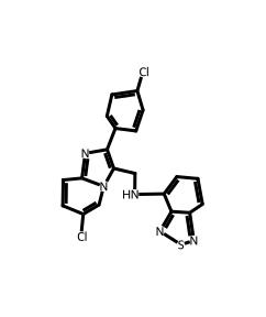 Clc1ccc(-c2nc3ccc(Cl)cn3c2CNc2cccc3nsnc23)cc1